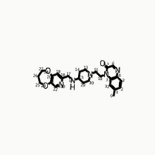 Cc1ccc2ncc(=O)n(CCN3CCC(NCc4cc5c(cn4)OCCCO5)CC3)c2c1